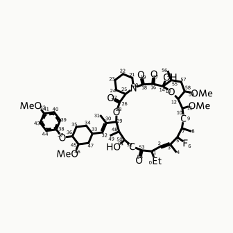 CCC1/C=C(\C)C(F)C(C)CC(OC)C2OC(O)(C(=O)C(=O)N3CCCCC3C(=O)OC(C(C)=CC3CCC(Oc4ccc(OC)cc4)C(OC)C3)C(C)C(O)CC1=O)C(C)CC2OC